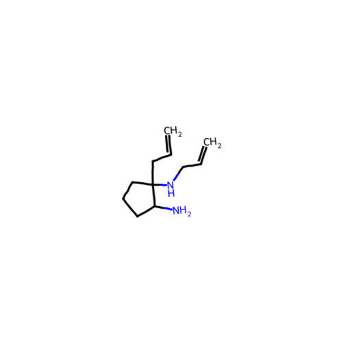 C=CCNC1(CC=C)CCCC1N